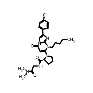 CCCCCn1c(N2CCC[C@H]2C(=O)NCC(=O)N(C)C)cc(=O)n2cc(-c3ccc(Cl)cc3)nc12